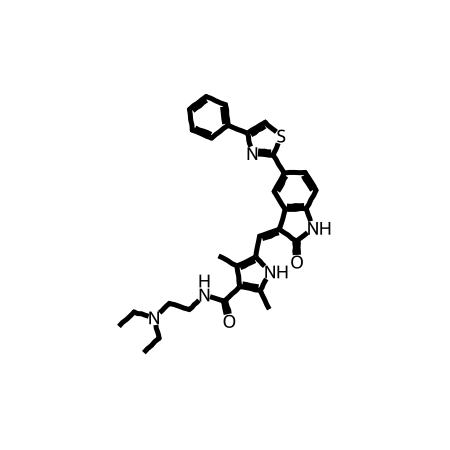 CCN(CC)CCNC(=O)c1c(C)[nH]c(C=C2C(=O)Nc3ccc(-c4nc(-c5ccccc5)cs4)cc32)c1C